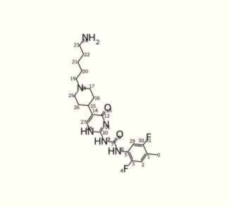 Cc1cc(F)c(NC(=O)Nc2nc(=O)c(C3CCN(CCCCCN)CC3)c[nH]2)cc1F